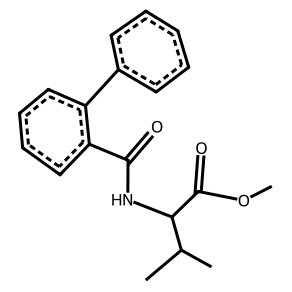 COC(=O)C(NC(=O)c1ccccc1-c1ccccc1)C(C)C